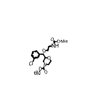 COC(=O)NCCO[C@@H](c1cccc(Cl)c1)C1CN(C(=O)OC(C)(C)C)CCO1